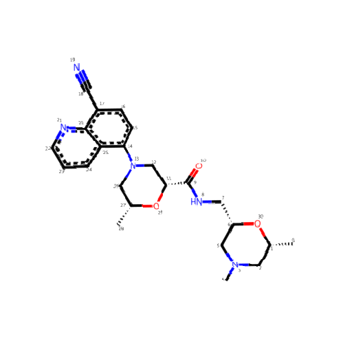 C[C@@H]1CN(C)C[C@H](CNC(=O)[C@H]2CN(c3ccc(C#N)c4ncccc34)C[C@@H](C)O2)O1